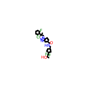 CC(O)C(F)(F)c1ccc(CNC(=O)c2ccc3c(c2)nnn3CC(C)(C)c2c(F)cccc2Cl)cc1